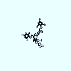 C[N+](C)(C)CCOP(=O)(O)OC[C@@H](COC(=O)COc1c(I)cc(I)cc1I)OC(=O)COc1c(I)cc(I)cc1I